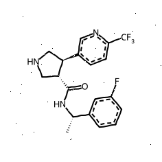 C[C@H](NC(=O)[C@@H]1CNC[C@H]1c1ccc(C(F)(F)F)nc1)c1cccc(F)c1